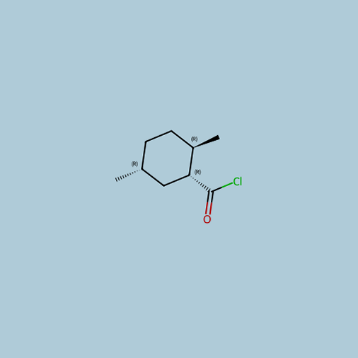 C[C@@H]1CC[C@@H](C)[C@H](C(=O)Cl)C1